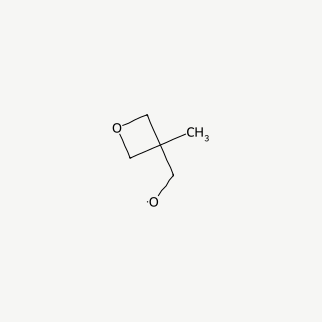 CC1(C[O])COC1